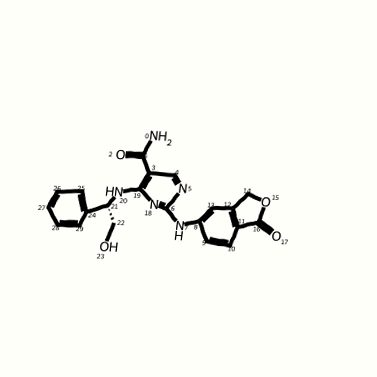 NC(=O)c1cnc(Nc2ccc3c(c2)COC3=O)nc1N[C@H](CO)c1ccccc1